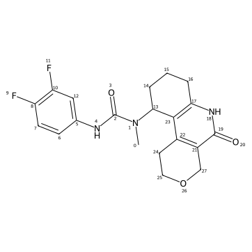 CN(C(=O)Nc1ccc(F)c(F)c1)C1CCCc2[nH]c(=O)c3c(c21)CCOC3